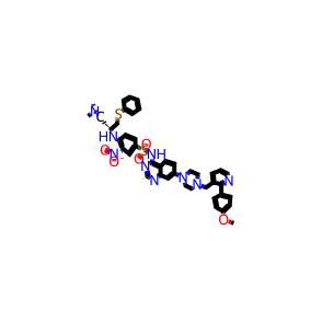 COc1ccc(-c2ncccc2CN2CCN(c3ccc4c(NS(=O)(=O)c5ccc(N[C@H](CCN(C)C)CSc6ccccc6)c([N+](=O)[O-])c5)ncnc4c3)CC2)cc1